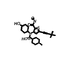 CC1CCC([C@@H](O)N(c2cc(C#CC(C)(C)C)sc2C(=O)N=O)C2CCC(O)CC2)CC1